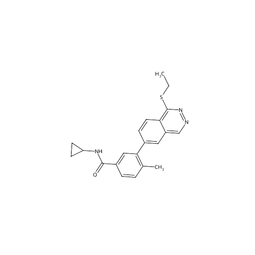 CCSc1nncc2cc(-c3cc(C(=O)NC4CC4)ccc3C)ccc12